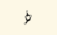 Fc1nc(Cl)[c]o1